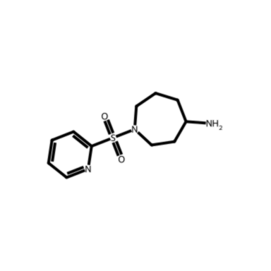 NC1CCCN(S(=O)(=O)c2ccccn2)CC1